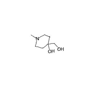 CN1CCC(O)(CO)CC1